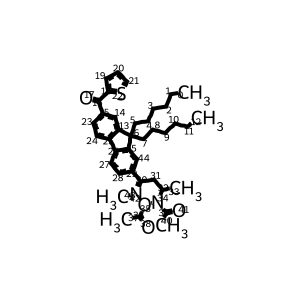 CCCCCCC1(CCCCCC)c2cc(C(=O)c3cccs3)ccc2-c2ccc(/C(CC(C)N(OC(C)=O)C(C)=O)=N\C)cc21